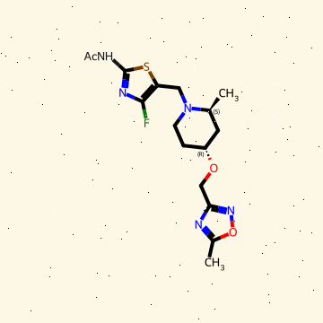 CC(=O)Nc1nc(F)c(CN2CC[C@@H](OCc3noc(C)n3)C[C@@H]2C)s1